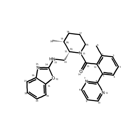 Cc1cccc(-c2ncccn2)c1C(=O)N1CCC[C@@H](C)[C@H]1CNc1nc2ccccc2o1